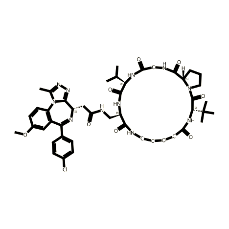 COc1ccc2c(c1)C(c1ccc(Cl)cc1)=N[C@@H](CC(=O)NC[C@H]1NC(=O)[C@@H](C(C)C)NC(=O)CNC(=O)[C@@H]3CCCN3C(=O)[C@H](C(C)(C)C)NC(=O)COCCNC1=O)c1nnc(C)n1-2